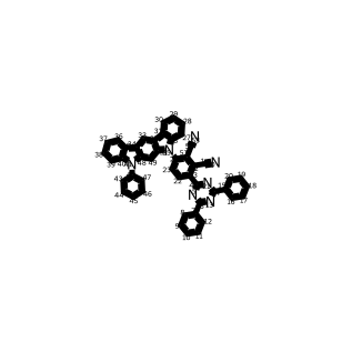 N#Cc1c(-c2nc(-c3ccccc3)nc(-c3ccccc3)n2)ccc(-n2c3ccccc3c3cc4c5ccccc5n(-c5ccccc5)c4cc32)c1C#N